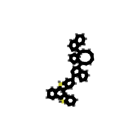 c1cccc(-c2ccc(-c3ccc4c(c3)sc3c5ccccc5c5sc6ccccc6c5c43)c3ccccc23)c2ccccc2c(-c2cccc3ccccc23)cc1